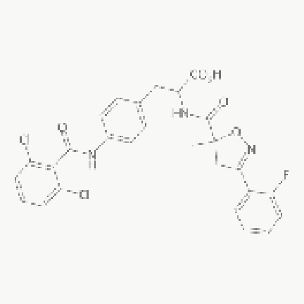 CC1(C(=O)NC(Cc2ccc(NC(=O)c3c(Cl)cccc3Cl)cc2)C(=O)O)CC(c2ccccc2F)=NO1